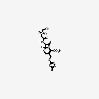 Cc1nnc(SCC2=C(C(=O)O)N3C(=O)C(NC(=O)CS(=O)(=O)CC#N)[C@H]3SC2)s1